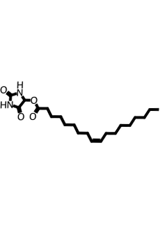 CCCCCCCC/C=C\CCCCCCCC(=O)OC1NC(=O)NC1=O